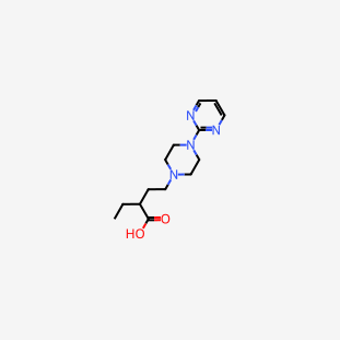 CCC(CCN1CCN(c2ncccn2)CC1)C(=O)O